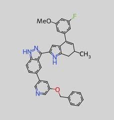 COc1cc(F)cc(C2=CC(C)Cc3[nH]c(-c4n[nH]c5ccc(-c6cncc(OCc7ccccc7)c6)cc45)cc32)c1